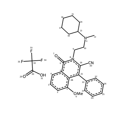 COc1cccc2c(=O)n(CCN(C)C3CCCCC3)c(C#N)c(-c3ccccc3)c12.O=C(O)C(F)(F)F